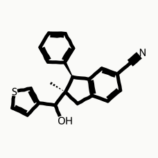 C[C@@]1(C(O)c2ccsc2)Cc2ccc(C#N)cc2[C@@H]1c1ccccc1